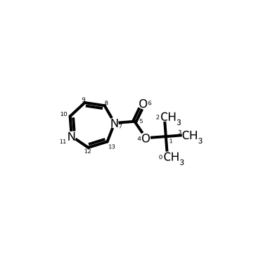 CC(C)(C)OC(=O)N1C=CC=NC=C1